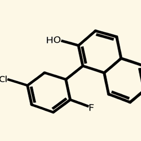 OC1=C(C2CC(Cl)=CC=C2F)C2C=CC=CC2C=C1